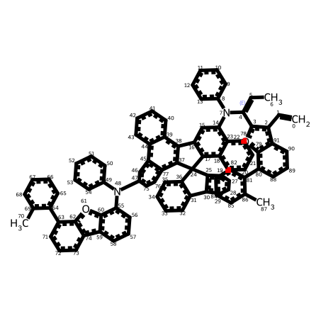 C=Cc1c(/C(=C\C)N(c2ccccc2)c2cc3c(c4ccccc24)C2(c4ccccc4-c4ccccc42)c2c-3c3ccccc3c3cc(N(c4ccccc4)c4cccc5c4oc4c(-c6ccccc6C)cccc45)ccc23)oc2c(-c3ccccc3C)cccc12